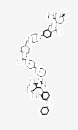 Nc1ncnc2c1c(-c1ccc(Oc3ccccc3)cc1)nn2[C@@H]1CCCN(C2CCN(C(=O)N3CCC(CN4CCN(c5ccc6c(c5)CN(C5CCC(=O)NC5=O)C6=O)CC4)CC3)CC2)C1